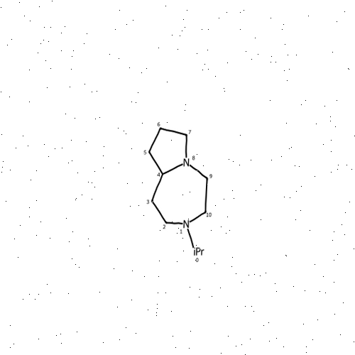 CC(C)N1CCC2CCCN2CC1